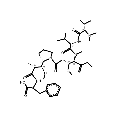 C=C(CC)[C@@H]([C@@H](CC(=O)N1CCC[C@H]1[C@H](OC)[C@@H](C)C(=O)NC(Cc1ccccc1)C(=O)O)OC)N(C)C(=O)[C@@H](NC(=O)[C@H](C(C)C)N(C)C)C(C)C